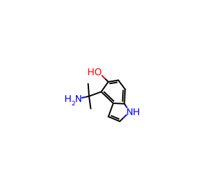 CC(C)(N)c1c(O)ccc2[nH]ccc12